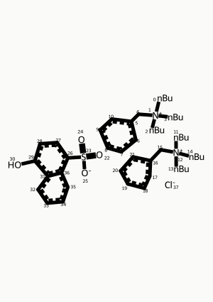 CCCC[N+](CCCC)(CCCC)Cc1ccccc1.CCCC[N+](CCCC)(CCCC)Cc1ccccc1.O=S(=O)([O-])c1ccc(O)c2ccccc12.[Cl-]